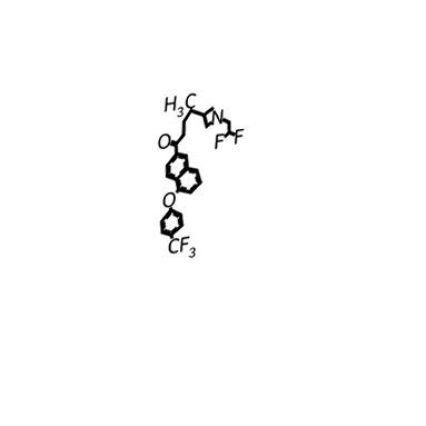 C[C@@H](CCC(=O)c1ccc2c(Oc3ccc(C(F)(F)F)cc3)cccc2c1)C1CN(CC(F)F)C1